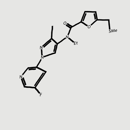 CCN(C(=O)c1ccc(CSC)o1)c1cn(-c2cncc(F)c2)nc1C